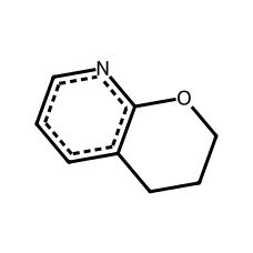 c1cnc2c(c1)CCCO2